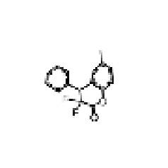 Cc1ccc2c(c1)C(c1ccccc1)C(F)(F)C(=O)O2